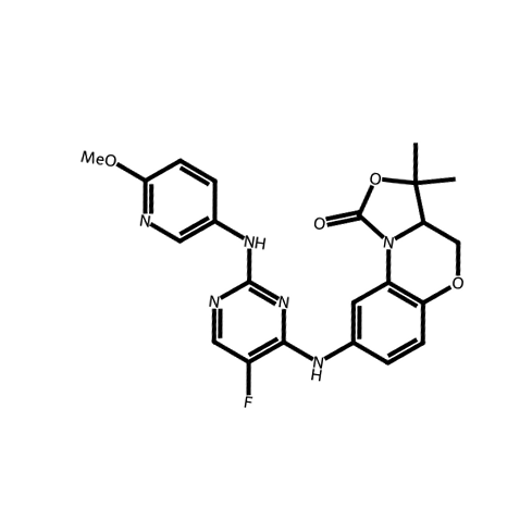 COc1ccc(Nc2ncc(F)c(Nc3ccc4c(c3)N3C(=O)OC(C)(C)C3CO4)n2)cn1